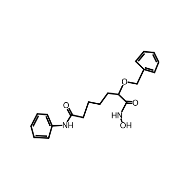 O=C(CCCCC(OCc1ccccc1)C(=O)NO)Nc1ccccc1